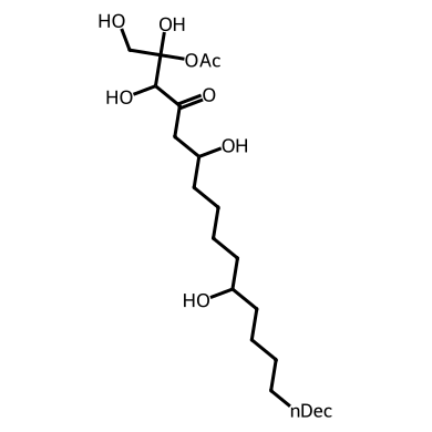 CCCCCCCCCCCCCCC(O)CCCCC(O)CC(=O)C(O)C(O)(CO)OC(C)=O